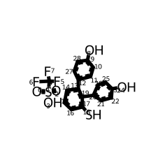 O=S(=O)(O)C(F)(F)F.Oc1ccc(-c2cccc(S)c2-c2ccc(O)cc2)cc1